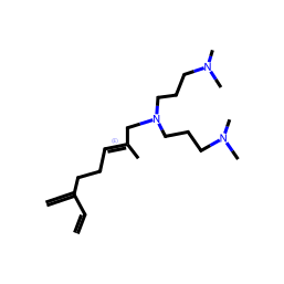 C=CC(=C)CC/C=C(\C)CN(CCCN(C)C)CCCN(C)C